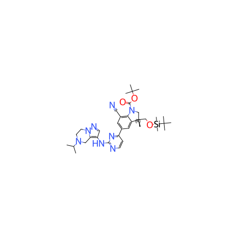 CC(C)N1CCn2ncc(Nc3nccc(-c4cc(C#N)c5c(c4)[C@@](C)(CO[Si](C)(C)C(C)(C)C)CN5C(=O)OC(C)(C)C)n3)c2C1